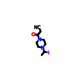 CC(I)N1CCN(C(=O)CC#N)CC1